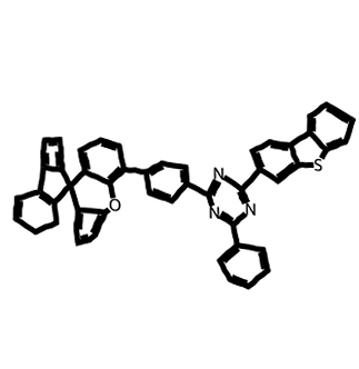 C1=CC2=C(CC1)C1(c3ccccc3Oc3c(-c4ccc(-c5nc(-c6ccccc6)nc(-c6ccc7c(c6)sc6ccccc67)n5)cc4)cccc31)c1ccccc12